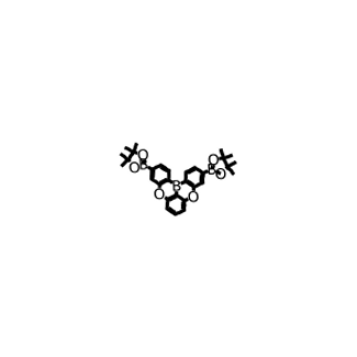 CC1(C)OB(c2ccc3c(c2)Oc2cccc4c2B3c2ccc(B3OC(C)(C)C(C)(C)O3)cc2O4)OC1(C)C